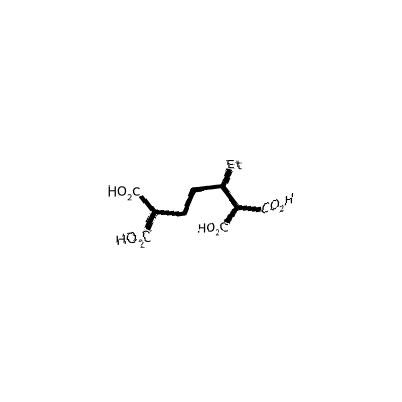 [CH2]CC(CCC(C(=O)O)C(=O)O)C(C(=O)O)C(=O)O